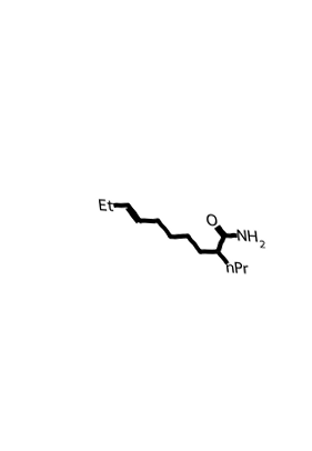 CC/C=C/CCCCC(CCC)C(N)=O